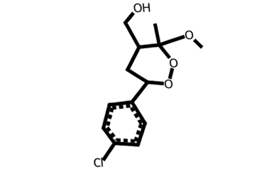 COC1(C)OOC(c2ccc(Cl)cc2)CC1CO